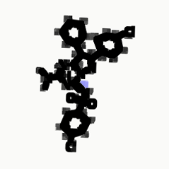 CN(C)C(=N)N/C(=N\S(=O)(=O)c1ccc(Cl)cc1)N1CC(c2ccccc2)C(c2ccc(Cl)cc2)=N1